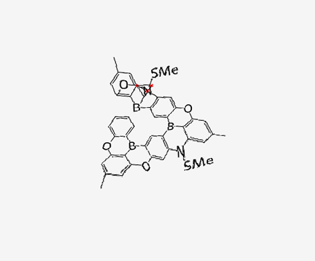 CSN1c2cc3c(cc2B2c4cc5c(cc4Oc4cc(C)cc1c42)N(SC)c1cc(C)cc2c1B5c1ccccc1O2)B1c2ccccc2Oc2cc(C)cc(c21)O3